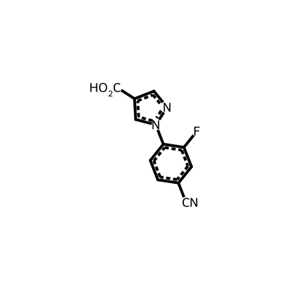 N#Cc1ccc(-n2cc(C(=O)O)cn2)c(F)c1